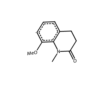 COc1[c]ccc2c1N(C)C(=O)CC2